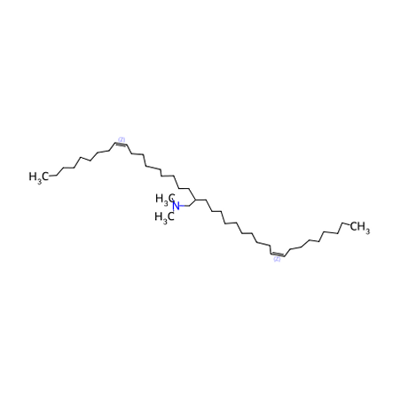 CCCCCCCC/C=C\CCCCCCCCCC(CCCCCCCC/C=C\CCCCCCCC)CN(C)C